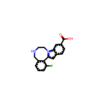 O=C(O)c1ccc2cc3n(c2c1)CCNCc1cccc(F)c1-3